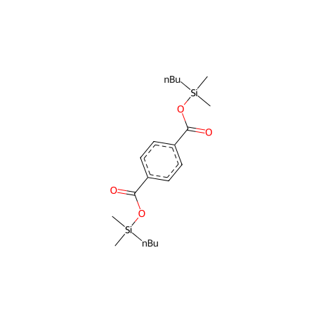 CCCC[Si](C)(C)OC(=O)c1ccc(C(=O)O[Si](C)(C)CCCC)cc1